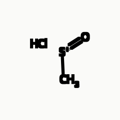 C[S+]=O.Cl